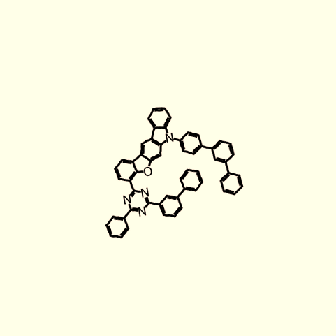 c1ccc(-c2cccc(-c3ccc(-n4c5ccccc5c5cc6c(cc54)oc4c(-c5nc(-c7ccccc7)nc(-c7cccc(-c8ccccc8)c7)n5)cccc46)cc3)c2)cc1